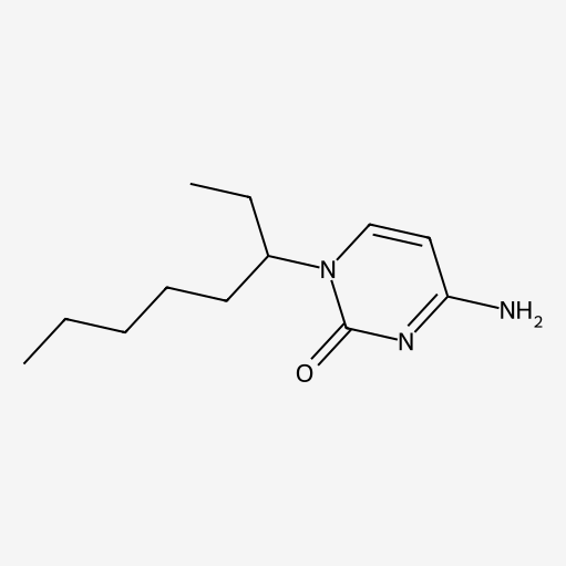 CCCCCC(CC)n1ccc(N)nc1=O